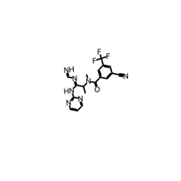 CC(/C(=N/C=N)Nc1ncccn1)N(C)C(=O)c1cc(C#N)cc(C(F)(F)F)c1